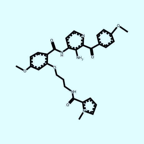 COc1ccc(C(=O)c2nccc(NC(=O)c3ccc(OC)cc3OCCCNC(=O)c3cccn3C)c2N)cc1